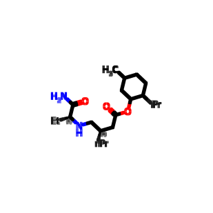 CCC[C@@H](CN[C@@H](CC)C(N)=O)CC(=O)OC1CC(C)CCC1C(C)C